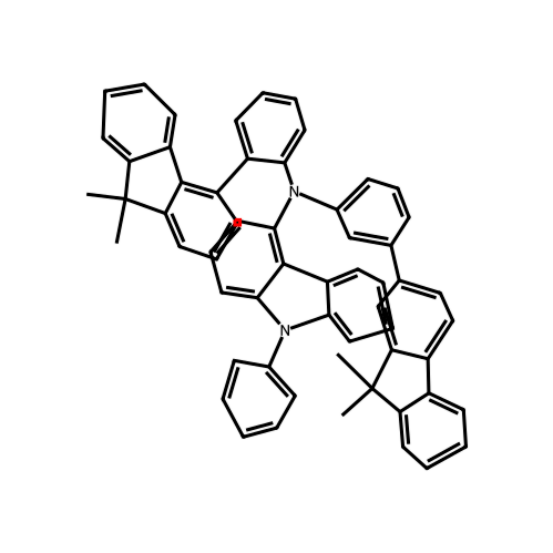 CC1(C)c2ccccc2-c2ccc(-c3cccc(N(c4ccccc4-c4cccc5c4-c4ccccc4C5(C)C)c4cccc5c4c4ccccc4n5-c4ccccc4)c3)cc21